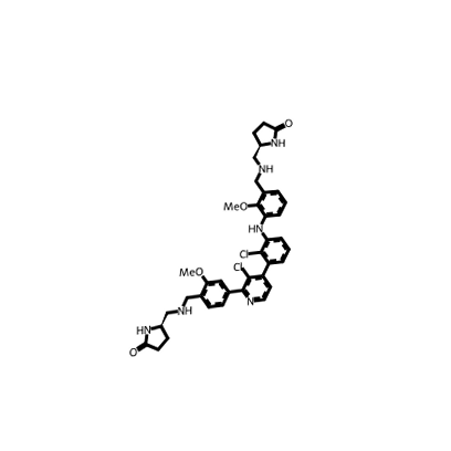 COc1cc(-c2nccc(-c3cccc(Nc4cccc(CNC[C@H]5CCC(=O)N5)c4OC)c3Cl)c2Cl)ccc1CNC[C@H]1CCC(=O)N1